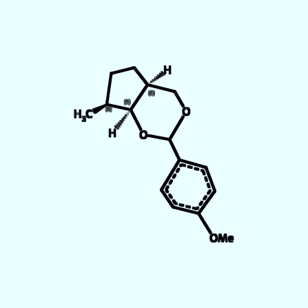 COc1ccc(C2OC[C@@H]3CC[C@H](C)[C@@H]3O2)cc1